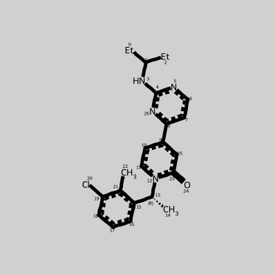 CCC(CC)Nc1nccc(-c2ccn([C@H](C)c3cccc(Cl)c3C)c(=O)c2)n1